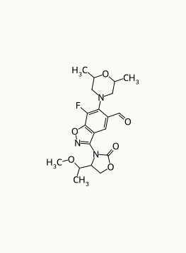 COC(C)C1COC(=O)N1c1noc2c(F)c(N3CC(C)OC(C)C3)c(C=O)cc12